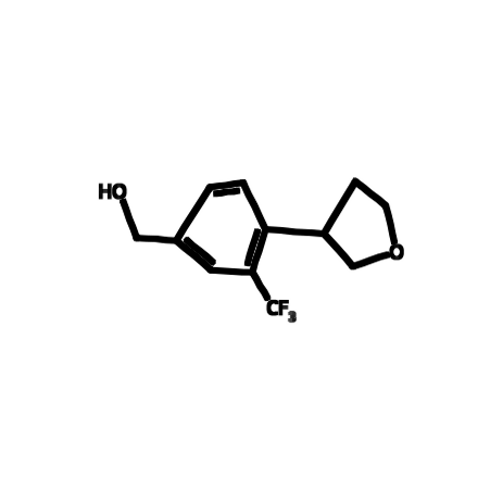 OCc1ccc(C2CCOC2)c(C(F)(F)F)c1